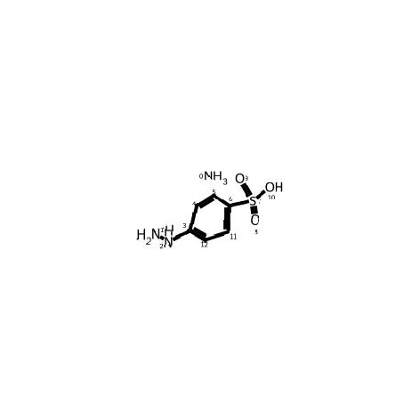 N.NNc1ccc(S(=O)(=O)O)cc1